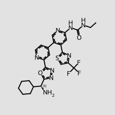 CCNC(=O)Nc1cc(-c2nc(C(F)(F)F)cs2)c(-c2ccnc(-c3nnc([C@@H](N)C4CCCCC4)o3)c2)cn1